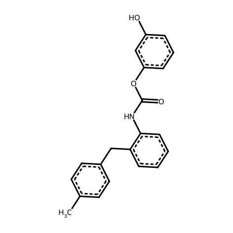 Cc1ccc(Cc2ccccc2NC(=O)Oc2cccc(O)c2)cc1